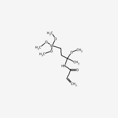 C=CC(=O)NC(C)(CC[Si](OC)(OC)OC)OC